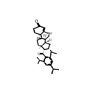 CC(C)c1cc(C(C)C)c(C(=O)[C@H]2CC[C@H]3[C@@H]4CNC5=CC(=O)CC[C@]5(C)[C@H]4CC[C@]23C)c(C(C)C)c1